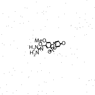 COc1cc(-n2ccc(=O)cc2)c(S(C)(=O)=O)cc1C(=O)N=C(N)N